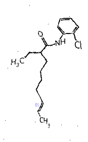 C/C=C/CCCCC(CC)C(=O)Nc1ccccc1Cl